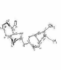 Cc1cc2cc(Cn3cc4c(Cl)nccc4n3)ccc2n1C